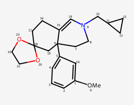 COc1cccc(C23CCN(CC4CC4)C=C2CCC2(C3)OCCO2)c1